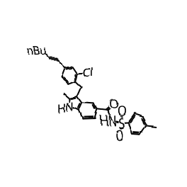 CCCCC=Cc1ccc(Cc2c(C)[nH]c3ccc(C(=O)NS(=O)(=O)c4ccc(C)cc4)cc23)c(Cl)c1